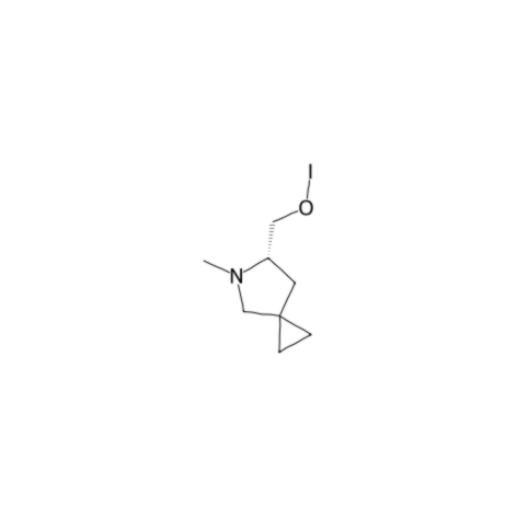 CN1CC2(CC2)C[C@H]1COI